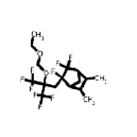 CCOCOC(CC1(F)C2CC(C(C)C2C)C1(F)F)(C(F)(F)F)C(F)(F)F